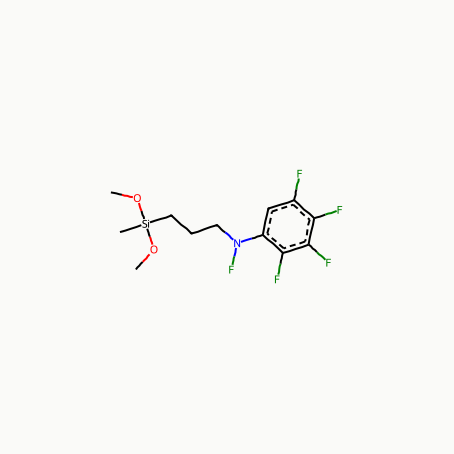 CO[Si](C)(CCCN(F)c1cc(F)c(F)c(F)c1F)OC